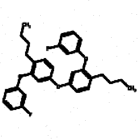 CCCCc1ccc(Oc2ccc(CCCC)c(Oc3cccc(F)c3)c2)cc1Oc1cccc(F)c1